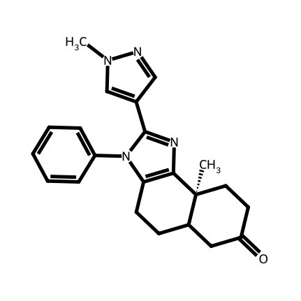 Cn1cc(-c2nc3c(n2-c2ccccc2)CCC2CC(=O)CC[C@]32C)cn1